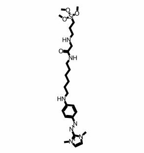 CO[Si](CCCNCC(=O)NCCCCCCNc1ccc(/N=N/c2n(C)cc[n+]2C)cc1)(OC)OC